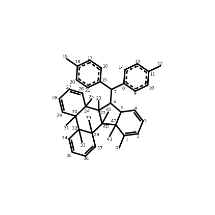 CC1=CC=CC2C(C(c3ccc(C)cc3)c3ccc(C)cc3)C3(C)C4(C)C=CC=CC4(C)C4(C)C=CC=CC4(C)C3(C)C12C